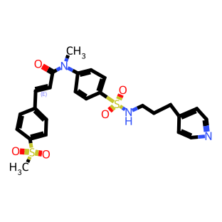 CN(C(=O)/C=C/c1ccc(S(C)(=O)=O)cc1)c1ccc(S(=O)(=O)NCCCc2ccncc2)cc1